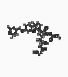 Cc1cc(COc2ccc(C3(C)CCN(C(CCNC(=O)CNC(=O)O)C(=O)NOC(=O)C(F)(F)F)C3=O)cc2)cc(C)n1